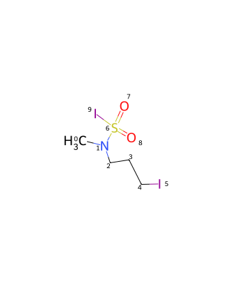 CN(CCCI)S(=O)(=O)I